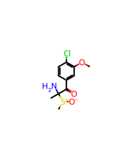 COc1cc(C(=O)C(C)(N)[S+](C)[O-])ccc1Cl